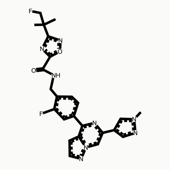 Cn1cc(-c2cn3nccc3c(-c3ccc(CNC(=O)c4nc(C(C)(C)CF)no4)c(F)c3)n2)cn1